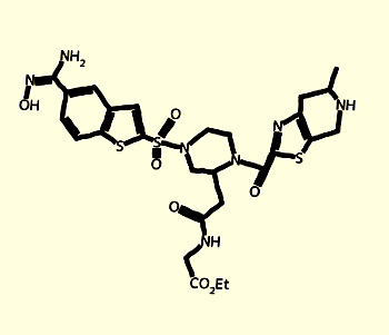 CCOC(=O)CNC(=O)CC1CN(S(=O)(=O)c2cc3cc(/C(N)=N\O)ccc3s2)CCN1C(=O)c1nc2c(s1)CNC(C)C2